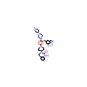 CN1CCC(N2CCCN(C(=O)[C@@H](Cc3cc(Cl)c4[nH]ncc4c3)OC(=O)N3CCC(N4CCc5ccccc5NC4=O)CC3)CC2)CC1